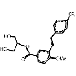 COc1ccc(C(=O)NC(CO)CO)cc1C=Cc1ccc(C(F)(F)F)cc1